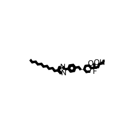 CCCCCCCCCCc1cnc(-c2ccc(CC[C@H]3CC[C@H]([C@@](F)(CCCC)C(=O)O)CC3)cc2)nc1